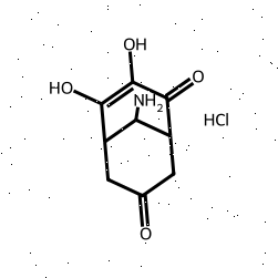 Cl.NC1C2CC(=O)CC1C(O)=C(O)C2=O